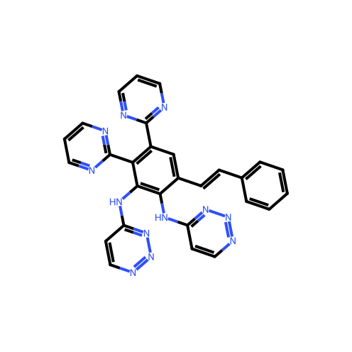 C(=Cc1cc(-c2ncccn2)c(-c2ncccn2)c(Nc2ccnnn2)c1Nc1ccnnn1)c1ccccc1